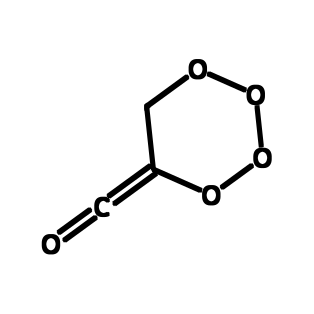 O=C=C1COOOO1